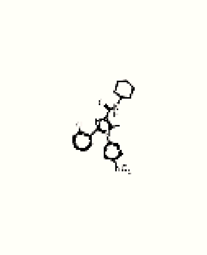 Cc1c(C(=O)NC2CCCCC2)nc(-c2ccccc2Cl)n1-c1ccc([N+](=O)[O-])cc1